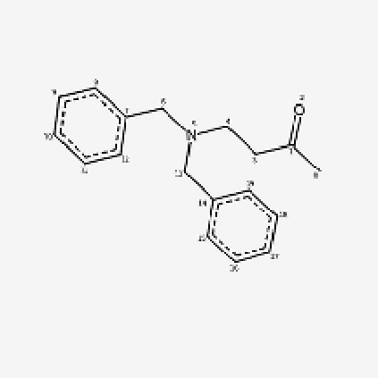 CC(=O)CCN(Cc1ccccc1)Cc1ccccc1